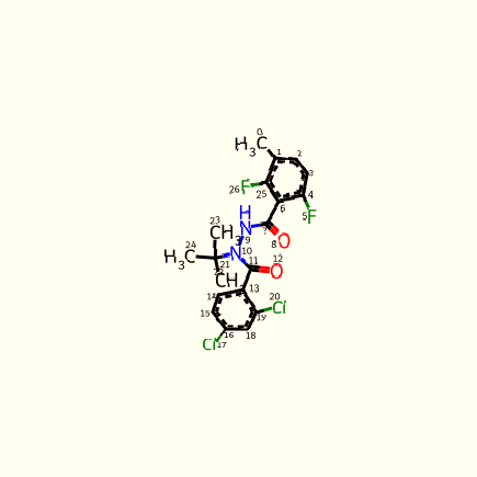 Cc1ccc(F)c(C(=O)NN(C(=O)c2ccc(Cl)cc2Cl)C(C)(C)C)c1F